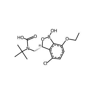 CCOc1ccc(Cl)c2c1B(O)O[C@H]2CN(C(=O)O)C(C)(C)C